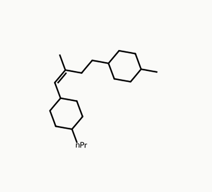 CCCC1CCC(C=C(C)CCC2CCC(C)CC2)CC1